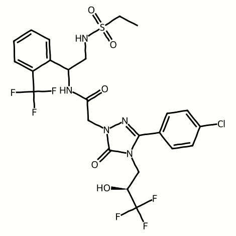 CCS(=O)(=O)NCC(NC(=O)Cn1nc(-c2ccc(Cl)cc2)n(C[C@H](O)C(F)(F)F)c1=O)c1ccccc1C(F)(F)F